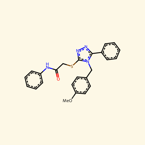 COc1ccc(Cn2c(SCC(=O)Nc3ccccc3)nnc2-c2ccccc2)cc1